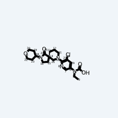 CCN(C(=O)O)c1cnc(N2CCC[C@]3(CCN(C4CCOCC4)C3=O)C2)c(Cl)c1